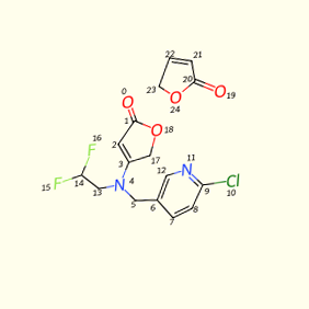 O=C1C=C(N(Cc2ccc(Cl)nc2)CC(F)F)CO1.O=C1C=CCO1